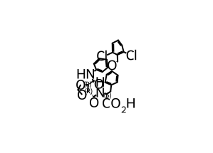 O=C(O)[C@H](Cc1ccc(OCc2c(Cl)cccc2Cl)cc1)NC(=O)[C@@H]1OCO[C@H]1C(=O)Nc1ccccc1